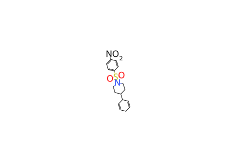 O=[N+]([O-])c1ccc(S(=O)(=O)N2CCC(C3C=CCC=C3)CC2)cc1